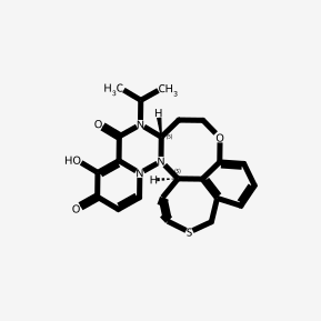 CC(C)N1C(=O)c2c(O)c(=O)ccn2N2[C@@H]3c4ccccc4SCc4cccc(c43)OCC[C@@H]12